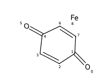 O=C1C=CC(=O)C=C1.[Fe]